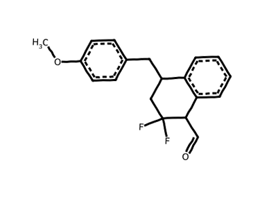 COc1ccc(CC2CC(F)(F)C(C=O)c3ccccc32)cc1